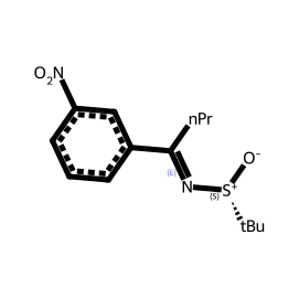 CCC/C(=N\[S@+]([O-])C(C)(C)C)c1cccc([N+](=O)[O-])c1